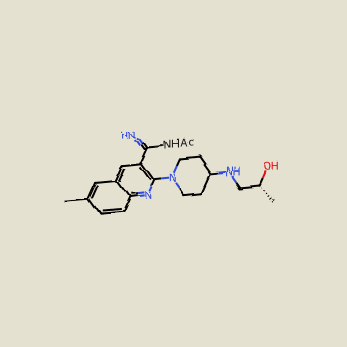 CC(=O)NC(=N)c1cc2cc(C)ccc2nc1N1CCC(NC[C@@H](C)O)CC1